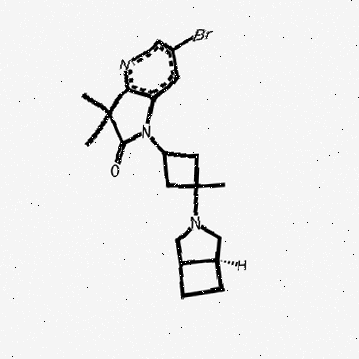 CC1(C)C(=O)N(C2CC(C)(N3CC4CC[C@@H]4C3)C2)c2cc(Br)cnc21